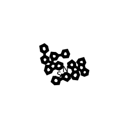 c1ccc(-c2cccc(C3(c4cccc(-c5ccccc5)c4)c4ccccc4-c4cc(N(c5cccc6c5-c5ccccc5C65c6ccccc6-c6ccccc65)c5cccc6c5sc5ccccc56)ccc43)c2)cc1